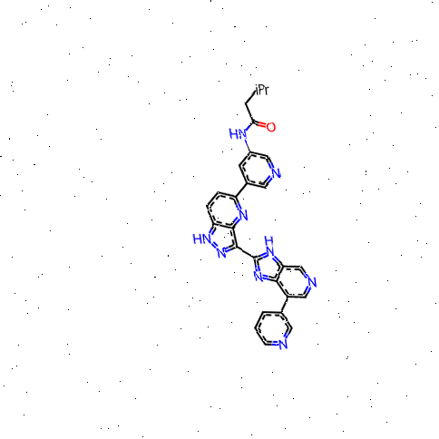 CC(C)CC(=O)Nc1cncc(-c2ccc3[nH]nc(-c4nc5c(-c6cccnc6)cncc5[nH]4)c3n2)c1